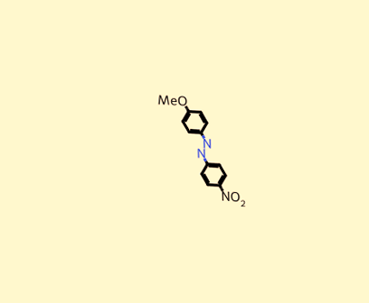 COc1ccc(N=Nc2ccc([N+](=O)[O-])cc2)cc1